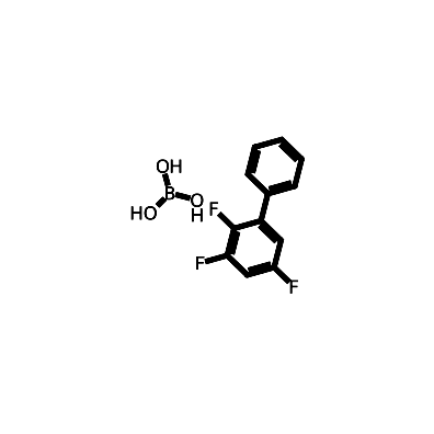 Fc1cc(F)c(F)c(-c2ccccc2)c1.OB(O)O